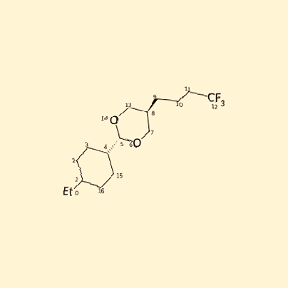 CCC1CCC([C@H]2OC[C@H](CCCC(F)(F)F)CO2)CC1